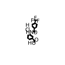 Cl.O=C(O)c1cccc(NC(=O)c2ccc(C(F)(F)F)cc2)c1